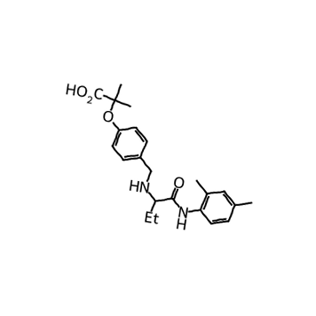 CCC(NCc1ccc(OC(C)(C)C(=O)O)cc1)C(=O)Nc1ccc(C)cc1C